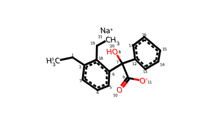 CCc1cccc(C(O)(C(=O)[O-])c2ccccc2)c1CC.[Na+]